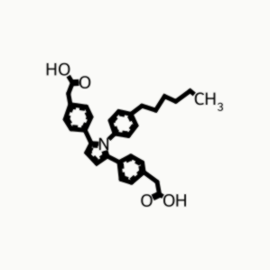 CCCCCCc1ccc(-n2c(-c3ccc(CC(=O)O)cc3)ccc2-c2ccc(CC(=O)O)cc2)cc1